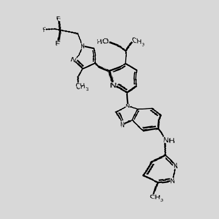 Cc1ccc(Nc2ccc3c(c2)ncn3-c2ccc(C(C)O)c(-c3cn(CC(F)(F)F)nc3C)n2)nn1